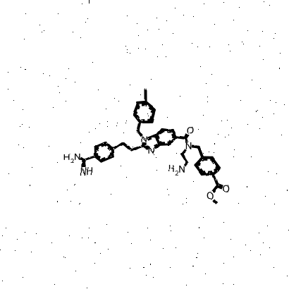 COC(=O)c1ccc(CN(CCN)C(=O)c2ccc3c(c2)nc(CCc2ccc(C(=N)N)cc2)n3Cc2ccc(C)cc2)cc1